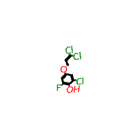 Oc1c(F)cc(OCC=C(Cl)Cl)cc1Cl